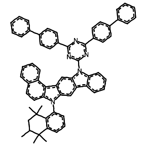 CC1CC(C)(C)c2c(-n3c4cc5c6ccccc6n(-c6nc(-c7ccc(-c8ccccc8)cc7)nc(-c7ccc(-c8ccccc8)cc7)n6)c5cc4c4c5ccccc5ccc43)cccc2C1(C)C